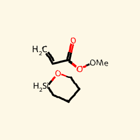 C1CC[SiH2]OC1.C=CC(=O)OOC